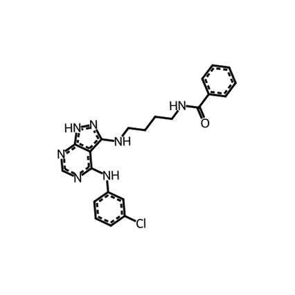 O=C(NCCCCNc1n[nH]c2ncnc(Nc3cccc(Cl)c3)c12)c1ccccc1